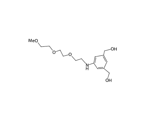 COCCOCCOCCNc1cc(CO)cc(CO)c1